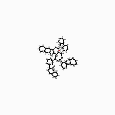 FC1C=C(c2c(-n3c4c(c5cc6ccccc6cc53)C=CCC4)ccc3c2oc2c4ccccc4ccc32)N=C(c2cccc3c2oc2ccccc23)N=C1c1cccc2c1oc1ccccc12